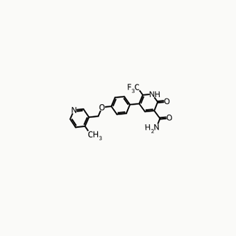 Cc1ccncc1COc1ccc(-c2cc(C(N)=O)c(=O)[nH]c2C(F)(F)F)cc1